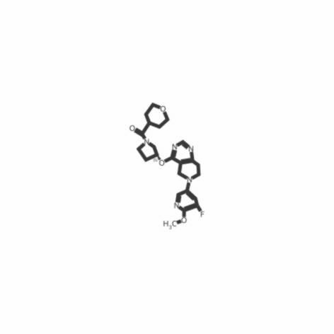 COc1ncc(N2CCc3ncnc(O[C@H]4CCN(C(=O)C5CCOCC5)C4)c3C2)cc1F